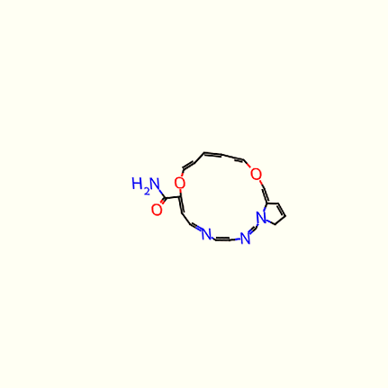 NC(=O)c1ccnccncn2c(cocccccco1)C=CC2